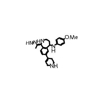 COc1ccc(NC2CCN/C(=C(/C)N=N)c3ccc(C4=CCNCC4)cc32)cc1